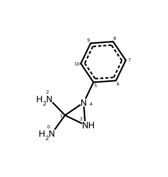 NC1(N)NN1c1ccccc1